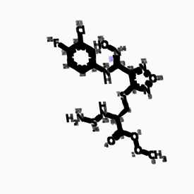 COOC(=O)[C@H](CSc1nonc1/C(=N/O)Nc1ccc(F)c(Cl)c1)NSN